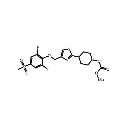 CC(C)(C)OC(=O)ON1CCC(c2nc(COc3c(F)cc(S(C)(=O)=O)cc3F)cs2)CC1